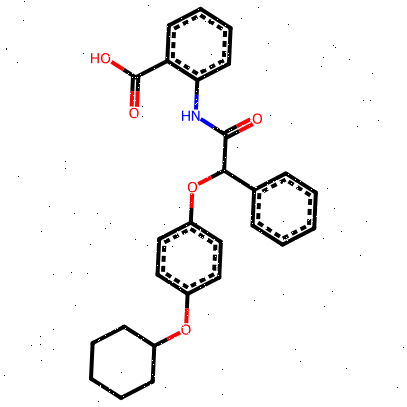 O=C(O)c1ccccc1NC(=O)C(Oc1ccc(OC2CCCCC2)cc1)c1ccccc1